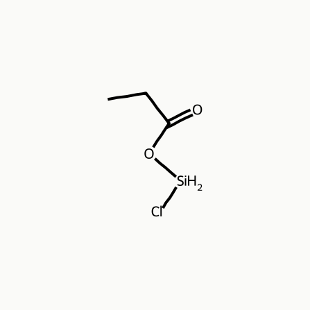 CCC(=O)O[SiH2]Cl